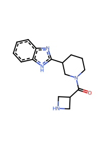 O=C(C1CNC1)N1CCCC(c2nc3ccccc3[nH]2)C1